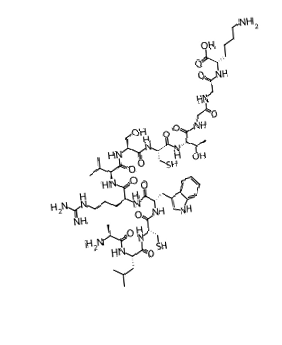 CC(C)C[C@H](NC(=O)[C@H](C)N)C(=O)N[C@@H](CS)C(=O)N[C@@H](Cc1c[nH]c2ccccc12)C(=O)N[C@@H](CCCNC(=N)N)C(=O)N[C@H](C(=O)N[C@@H](CO)C(=O)N[C@@H](CS)C(=O)N[C@H](C(=O)NCC(=O)NCC(=O)N[C@@H](CCCCN)C(=O)O)[C@@H](C)O)C(C)C